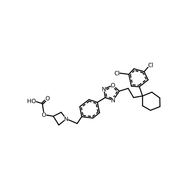 O=C(O)OC1CN(Cc2ccc(-c3noc(CCC4(c5cc(Cl)cc(Cl)c5)CCCCC4)n3)cc2)C1